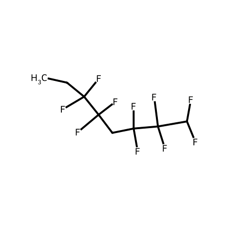 CCC(F)(F)C(F)(F)CC(F)(F)C(F)(F)C(F)F